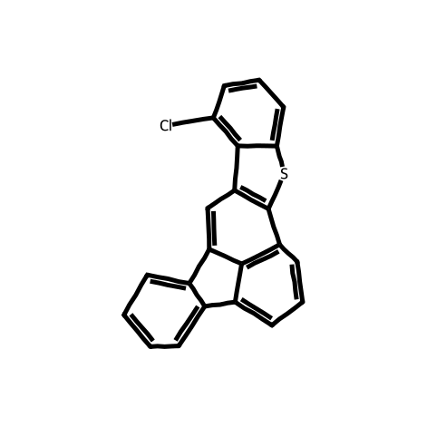 Clc1cccc2sc3c4cccc5c4c(cc3c12)-c1ccccc1-5